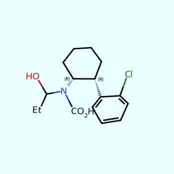 CCC(O)N(C(=O)O)[C@@H]1CCCC[C@@H]1c1ccccc1Cl